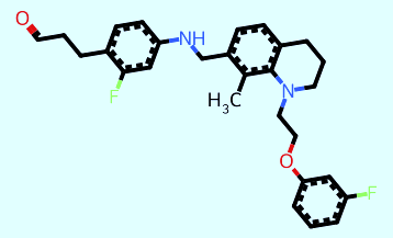 Cc1c(CNc2ccc(CCC=O)c(F)c2)ccc2c1N(CCOc1cccc(F)c1)CCC2